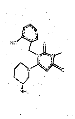 Cn1c(=O)cc(N2CCC[C@H](N)C2)n(Cc2ccccc2C#N)c1=O